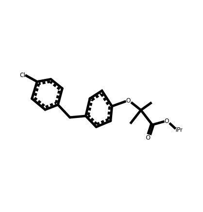 CC(C)OC(=O)C(C)(C)Oc1ccc(Cc2ccc(Cl)cc2)cc1